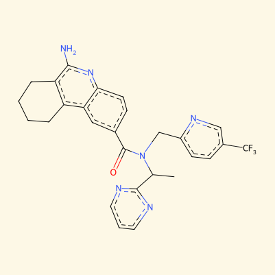 CC(c1ncccn1)N(Cc1ccc(C(F)(F)F)cn1)C(=O)c1ccc2nc(N)c3c(c2c1)CCCC3